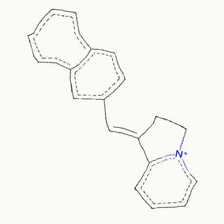 C(=C1/CC[n+]2ccccc21)/c1ccc2ccccc2c1